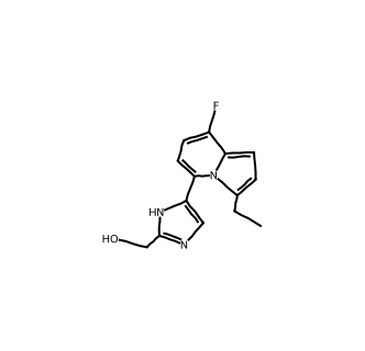 CCc1ccc2c(F)ccc(-c3cnc(CO)[nH]3)n12